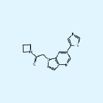 O=C(Cn1ccc2ncc(-c3cncs3)cc21)N1CCC1